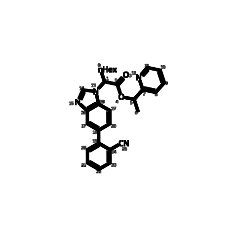 CCCCCCC(C(=O)OC(C)c1ccccn1)n1cnc2cc(-c3ccccc3C#N)ccc21